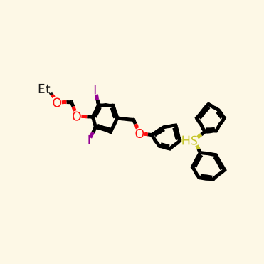 CCOCOc1c(I)cc(COc2ccc([SH](c3ccccc3)c3ccccc3)cc2)cc1I